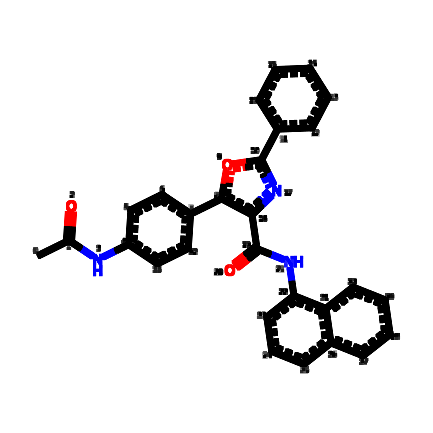 CC(=O)Nc1ccc(-c2oc(-c3ccccc3)nc2C(=O)Nc2cccc3ccccc23)cc1